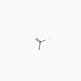 CC(=O)O.[Co].[Cu]